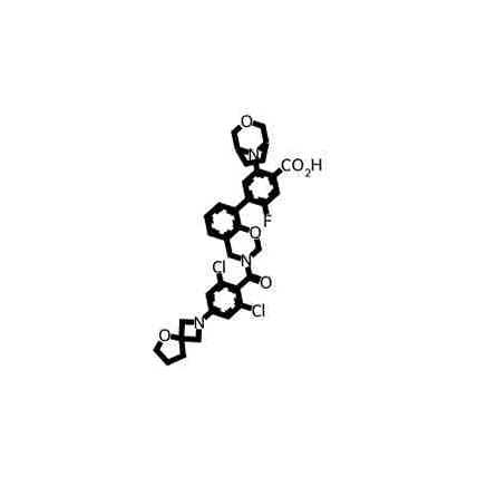 O=C(O)c1cc(F)c(-c2cccc3c2OCN(C(=O)c2c(Cl)cc(N4CC5(CCCO5)C4)cc2Cl)C3)cc1N1C2CCC1COC2